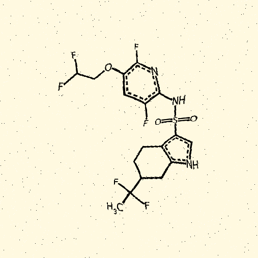 CC(F)(F)C1CCc2c(S(=O)(=O)Nc3nc(F)c(OCC(F)F)cc3F)c[nH]c2C1